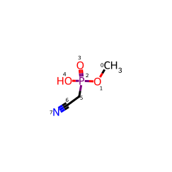 COP(=O)(O)CC#N